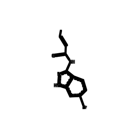 CC=CC(=O)Nc1n[nH]c2cc(Br)ccc12